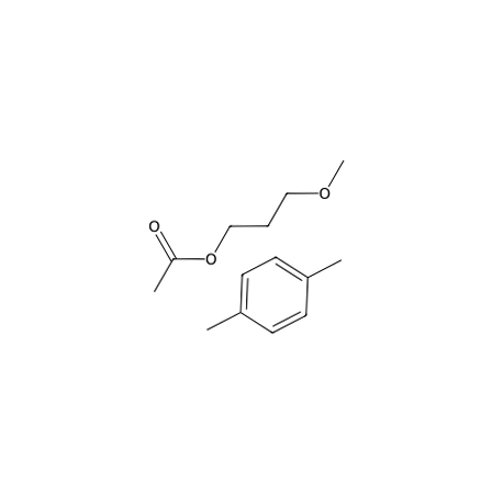 COCCCOC(C)=O.Cc1ccc(C)cc1